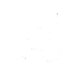 NC(=O)c1sccc1C(=O)CBr